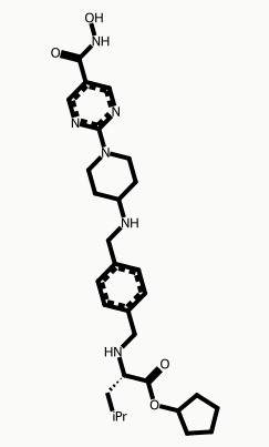 CC(C)C[C@H](NCc1ccc(CNC2CCN(c3ncc(C(=O)NO)cn3)CC2)cc1)C(=O)OC1CCCC1